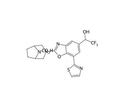 O=C(O)N1C2CCC1CN(c1nc3cc(C(O)C(F)(F)F)cc(-c4nccs4)c3o1)C2